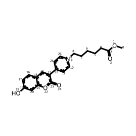 COC(=O)CCCCC[n+]1ccc(-c2cc3ccc(O)cc3oc2=O)cc1